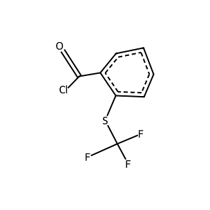 O=C(Cl)c1ccccc1SC(F)(F)F